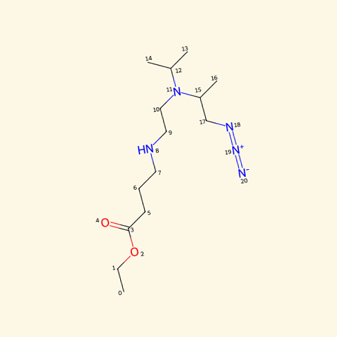 CCOC(=O)CCCNCCN(C(C)C)C(C)CN=[N+]=[N-]